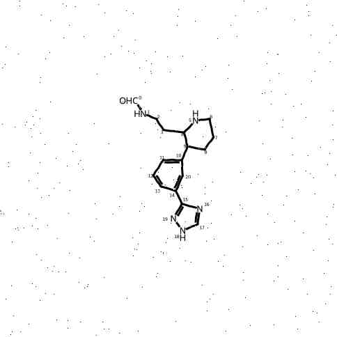 O=CNCCC1NCCCC1c1cccc(-c2nc[nH]n2)c1